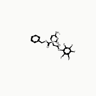 NC1=NC(=O)[N+](CC(=O)Oc2c(F)c(F)c(F)c(F)c2F)(C(=O)OCc2ccccc2)C=C1